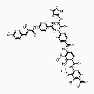 COc1c(NC(=O)c2ccc(NC(=O)c3ccc(NC(=O)[C@H](Cc4cnn[nH]4)NC(=O)c4ccc(NC(=O)/C(C)=C/c5ccc(O)cc5)cn4)cc3)c(OC)c2O)ccc(C(=O)O)c1O